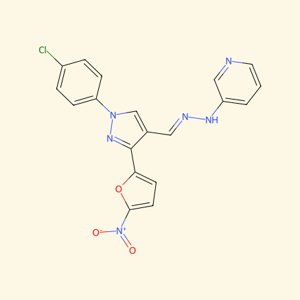 O=[N+]([O-])c1ccc(-c2nn(-c3ccc(Cl)cc3)cc2C=NNc2cccnc2)o1